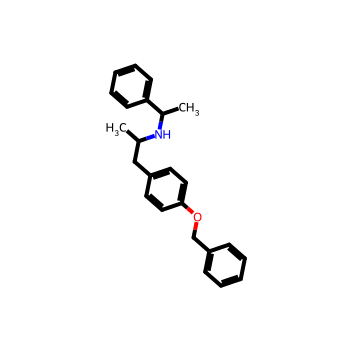 CC(Cc1ccc(OCc2ccccc2)cc1)NC(C)c1ccccc1